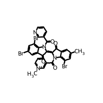 Cc1cc(Br)c2c(c1)C(=O)/C(=C1/C(=O)c3cc(Br)cc(Br)c3N1C(=O)c1cccnc1)N2C(=O)c1ccc[n+](C)c1